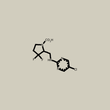 O=C(O)N1CCC(F)(F)C1CNc1ncc(Cl)cn1